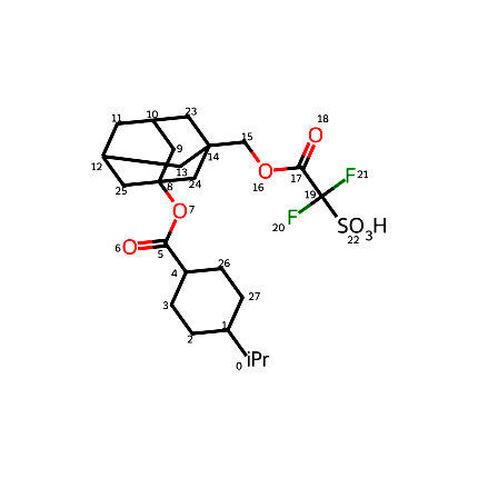 CC(C)C1CCC(C(=O)OC23CC4CC(CC(COC(=O)C(F)(F)S(=O)(=O)O)(C4)C2)C3)CC1